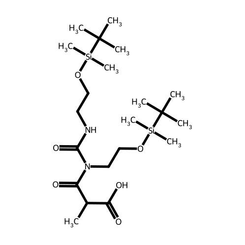 CC(C(=O)O)C(=O)N(CCO[Si](C)(C)C(C)(C)C)C(=O)NCCO[Si](C)(C)C(C)(C)C